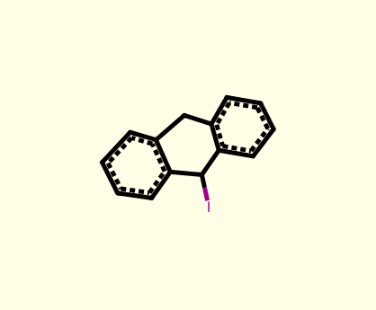 IC1c2ccccc2Cc2ccccc21